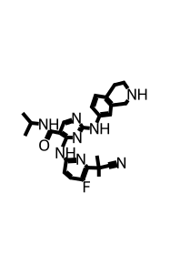 CC(C)NC(=O)c1cnc(Nc2ccc3c(c2)CNCC3)nc1Nc1ccc(F)c(C(C)(C)C#N)n1